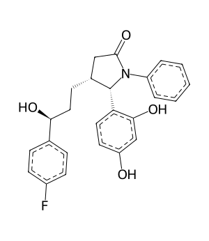 O=C1C[C@@H](CC[C@H](O)c2ccc(F)cc2)[C@@H](c2ccc(O)cc2O)N1c1ccccc1